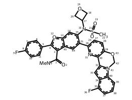 CNC(=O)c1c(-c2ccc(F)cc2)oc2cc(N(C3COC3)S(C)(=O)=O)c(-c3ccc4c(n3)-c3cc5c(F)cccc5n3CO4)cc12